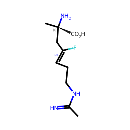 CC(=N)NCC/C=C(\F)C[C@](C)(N)C(=O)O